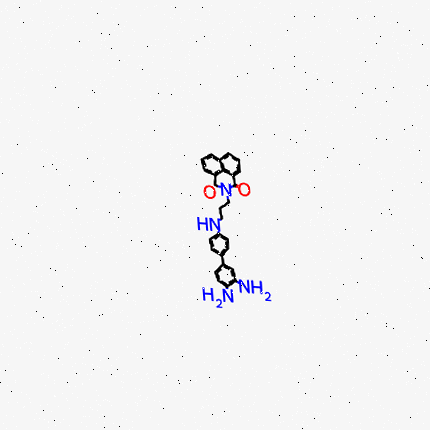 Nc1ccc(-c2ccc(NCCCN3C(=O)c4cccc5cccc(c45)C3=O)cc2)cc1N